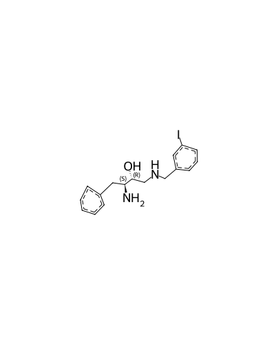 N[C@@H](Cc1ccccc1)[C@H](O)CNCc1cccc(I)c1